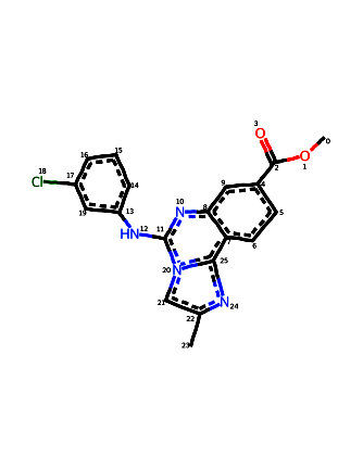 COC(=O)c1ccc2c(c1)nc(Nc1cccc(Cl)c1)n1cc(C)nc21